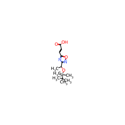 CC(O[Si](C)(C)C(C)(C)C)c1noc(C=CC(=O)O)n1